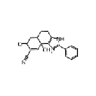 CC12C=C(C#N)C(=O)CC1CCc1[nH]c(-c3ccccc3)nc12